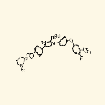 CCCCc1nc(-c2ccc(OC[C@H]3CCCN(CC)C3)cc2)cn1-c1ccc(Oc2ccc(F)c(C(F)(F)F)c2)cc1